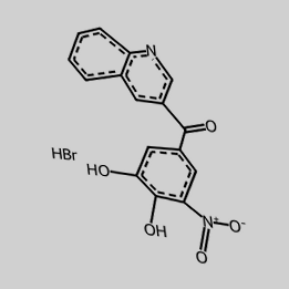 Br.O=C(c1cc(O)c(O)c([N+](=O)[O-])c1)c1cnc2ccccc2c1